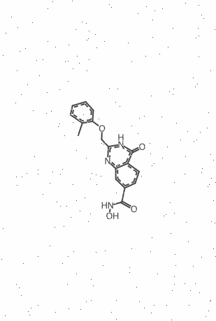 Cc1ccccc1OCc1nc2cc(C(=O)NO)ccc2c(=O)[nH]1